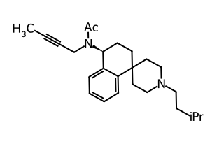 CC#CCN(C(C)=O)[C@H]1CCC2(CCN(CCC(C)C)CC2)c2ccccc21